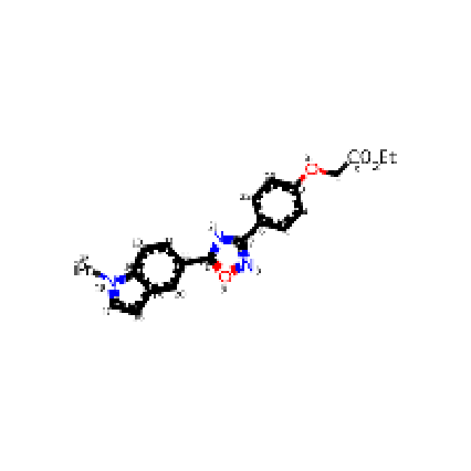 CCOC(=O)COc1ccc(-c2noc(-c3ccc4c(ccn4C(C)C)c3)n2)cc1